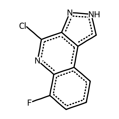 Fc1cccc2c1nc(Cl)c1n[nH]cc12